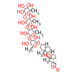 CC1O[C@@H](OC2[C@@H](O)C(C)O[C@@H](OC3[C@@H](O)C(C)O[C@@H](OC4[C@@H](O)C(C)O[C@@H](O[C@H]5CCC6(C)C7CCC8(C)[C@@H](C9=CC(=O)OC9)CC[C@]8(O)[C@@H]7CC[C@@H]6C5)[C@H]4O)[C@H]3O)[C@H]2O)[C@@H](O)C(O)[C@H]1O